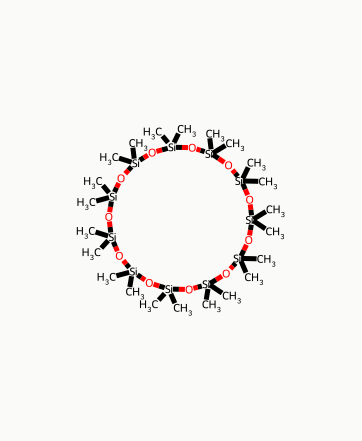 C[Si]1(C)O[Si](C)(C)O[Si](C)(C)O[Si](C)(C)O[Si](C)(C)O[Si](C)(C)O[Si](C)(C)O[Si](C)(C)O[Si](C)(C)O[Si](C)(C)O[Si](C)(C)O1